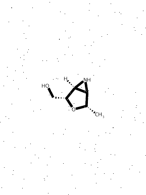 C[C@@H]1O[C@H](CO)[C@H]2NC12